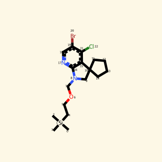 C[Si](C)(C)CCOCN1CC2(CCCC2)c2c1ncc(Br)c2Cl